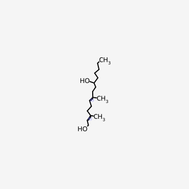 CCCCCC(O)CC/C(C)=C/CC/C(C)=C/CO